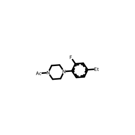 CCc1ccc(N2CCN(C(C)=O)CC2)c(F)c1